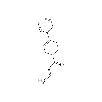 C/C=C/C(=O)C1CC=C(c2ccccn2)CC1